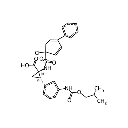 CC(C)COC(=O)Nc1cccc([C@@H]2C[C@]2(NS(=O)(=O)C2(Cl)C=CC(c3ccccc3)=CC2)C(=O)O)c1